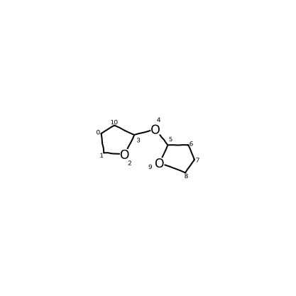 C1COC(OC2CCCO2)C1